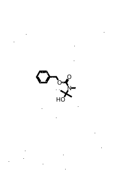 CN(C(=O)OCc1ccccc1)C(C)(C)O